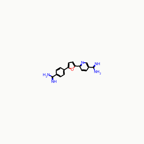 N=C(N)c1ccc(-c2ccc(-c3ccc(C(=N)N)cn3)o2)cc1